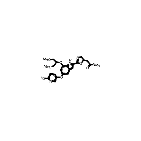 CNC(=O)CC1CN=C(c2cc3cc(Oc4ccc(S)nc4)cc(OC(COC)COC)c3[nH]2)S1